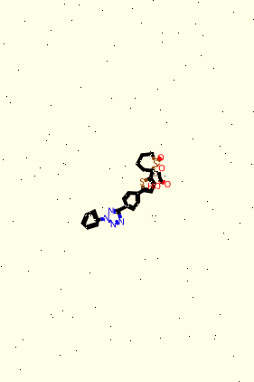 O=C(O)C[C@]1(c2ccc(-c3ccc(-c4nnn(-c5ccccc5)n4)cc3)s2)CCCCS1(=O)=O